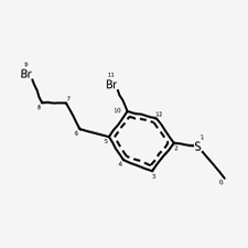 CSc1ccc(CCCBr)c(Br)c1